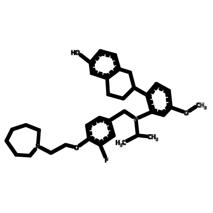 COc1ccc(C2CCc3cc(O)ccc3C2)c(N(Cc2ccc(OCCN3CCCCCC3)c(F)c2)C(C)C)c1